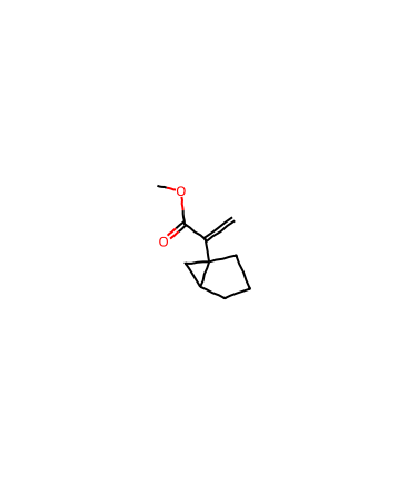 C=C(C(=O)OC)C12CCCC1C2